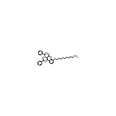 CCCCCCCCCCOc1cccc2c(OC(=O)c3ccccc3)c(OC(=O)c3ccccc3)c(=O)oc12